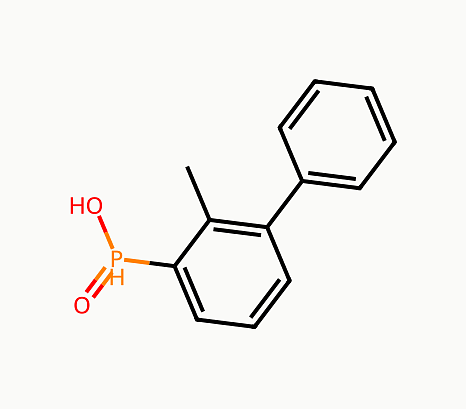 Cc1c(-c2ccccc2)cccc1[PH](=O)O